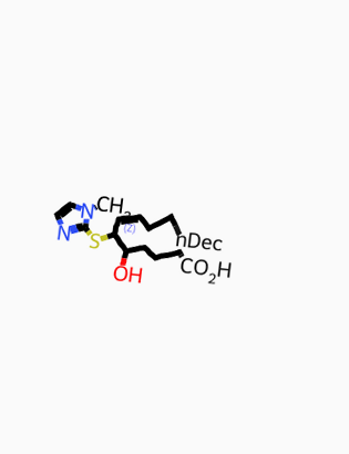 CCCCCCCCCCCC/C=C\C(Sc1nccn1C)C(O)CCCC(=O)O